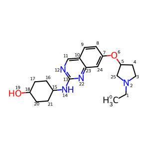 CCN1CCC(Oc2ccc3cnc(NC4CCC(O)CC4)nc3c2)C1